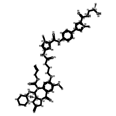 C=CCOC(=O)N1c2cc(OCCCC(=O)Nc3cn(C)c(C(=O)Nc4ccc(-c5cc(C(=O)NC[C@H](C)O)n(C)c5)cc4)n3)c(OC)cc2C(=O)N2CC(=C)C[C@H]2C1OC1CCCCO1